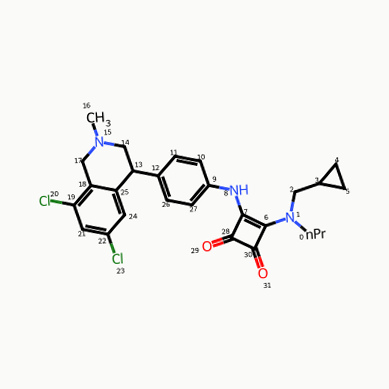 CCCN(CC1CC1)c1c(Nc2ccc(C3CN(C)Cc4c(Cl)cc(Cl)cc43)cc2)c(=O)c1=O